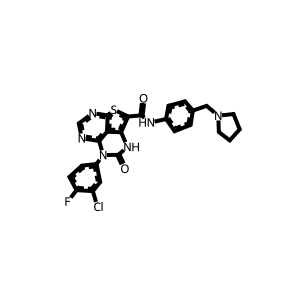 O=C(Nc1ccc(CN2CCCC2)cc1)c1sc2ncnc3c2c1NC(=O)N3c1ccc(F)c(Cl)c1